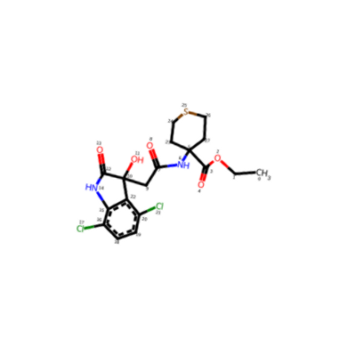 CCOC(=O)C1(NC(=O)CC2(O)C(=O)Nc3c(Cl)ccc(Cl)c32)CCSCC1